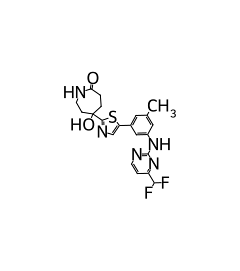 Cc1cc(Nc2nccc(C(F)F)n2)cc(-c2cnc(C3(O)CCNC(=O)CC3)s2)c1